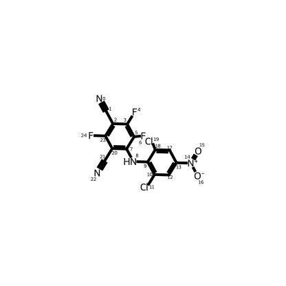 N#Cc1c(F)c(F)c(Nc2c(Cl)cc([N+](=O)[O-])cc2Cl)c(C#N)c1F